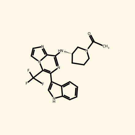 CC(=O)N1CCC[C@H](Nc2nc(-c3c[nH]c4ccccc34)c(C(F)(F)F)n3ccnc23)C1